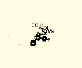 COP(=O)(C=Cc1c(-c2ccc(F)cc2)cc(-c2ccccc2)nc1C(C)C)CC(O)CC(=O)O